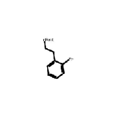 C[CH]c1ccccc1CCCCCCC